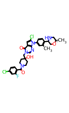 Cc1cc(-n2c(Cl)cc3c(=O)n(CC4(O)CCN(C(=O)c5ccc(Cl)cc5F)CC4)cnc32)ccc1C1CO[C@H](C)CN1